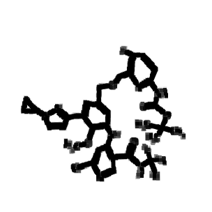 [2H]C([2H])([2H])NC(=O)c1cnc(Cl)cc1Nc1cc(COCc2nc(NC(=O)OC(C)(C)C)ccc2F)cc(-c2ccn(C3CC3)n2)c1OC